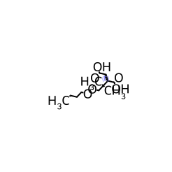 CCCCOOCC(C)(C)/C(=C\C(=O)O)C(=O)O